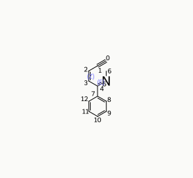 C#C/C=C\C(=N/C)c1ccccc1